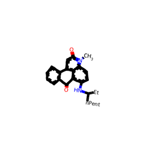 CCCCCC(CC)Nc1ccc2c3c(cc(=O)n2C)-c2ccccc2C(=O)c13